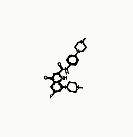 CN1CCN(c2ccc(NC(=O)c3cc(=O)c4cc(F)cc(N5CCN(C)CC5)c4[nH]3)cc2)CC1